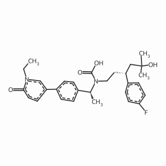 CCn1cc(-c2ccc([C@H](C)N(CC[C@H](CC(C)(C)O)c3ccc(F)cc3)C(=O)O)cc2)ccc1=O